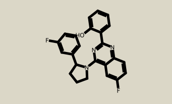 Oc1ccccc1-c1nc(N2CCCC2c2cccc(F)c2)c2cc(F)ccc2n1